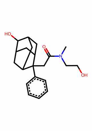 CN(CCO)C(=O)CC1(c2ccccc2)C2CC3CC1CC(C2)C3O